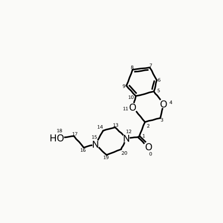 O=C(C1COc2ccccc2O1)N1CCN(CCO)CC1